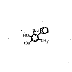 [CH2]c1cc(C(C)(C)C)c(O)c(C(C)(C)C)c1C1CC2C=CC1C2